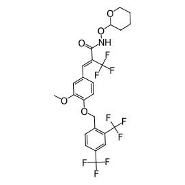 COc1cc(/C=C(/C(=O)NOC2CCCCO2)C(F)(F)F)ccc1OCc1ccc(C(F)(F)F)cc1C(F)(F)F